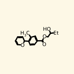 CCC(O)COC(=O)c1ccc(C2C=CC=CO2)c(C)c1